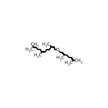 CC(C)=CCCC(C)=CCCC(C)=CCOC/C=C(\C)CCC=C(C)C